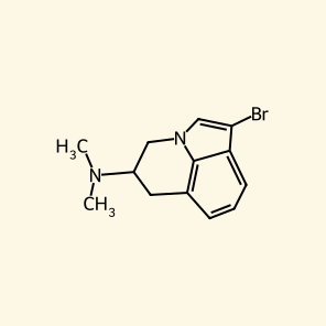 CN(C)C1Cc2cccc3c(Br)cn(c23)C1